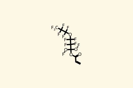 C=CC(=O)OC(OF)(OF)C(F)(F)C(F)(F)OC(F)(F)C(F)(F)C(F)(F)F